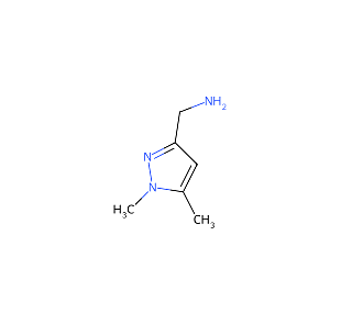 Cc1cc(CN)nn1C